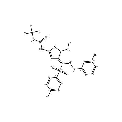 CSC1SC(NC(=O)OC(C)(C)C)=CC1=[N+](OSc1cccc(Br)c1)S(=O)(=O)c1ccc(C)cc1